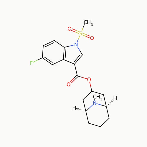 CN1[C@@H]2CCC[C@H]1CC(OC(=O)c1cn(S(C)(=O)=O)c3ccc(F)cc13)C2